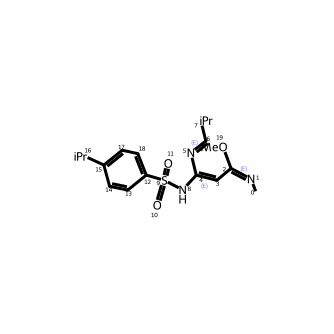 C\N=C(/C=C(\N=C\C(C)C)NS(=O)(=O)c1ccc(C(C)C)cc1)OC